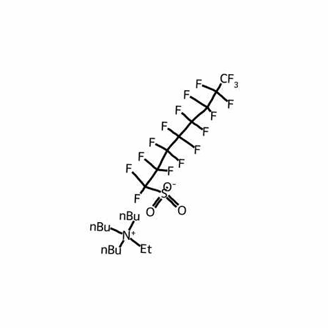 CCCC[N+](CC)(CCCC)CCCC.O=S(=O)([O-])C(F)(F)C(F)(F)C(F)(F)C(F)(F)C(F)(F)C(F)(F)C(F)(F)C(F)(F)F